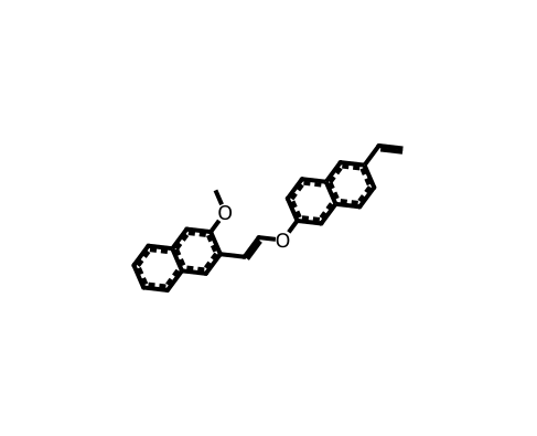 C=Cc1ccc2cc(O/C=C/c3cc4ccccc4cc3OC)ccc2c1